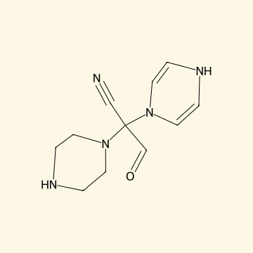 N#CC(C=O)(N1C=CNC=C1)N1CCNCC1